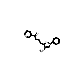 Nc1cn(-c2ccccc2)nc1CCCC(=O)c1cccnc1